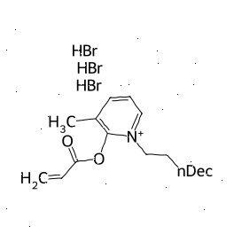 Br.Br.Br.C=CC(=O)Oc1c(C)ccc[n+]1CCCCCCCCCCCC